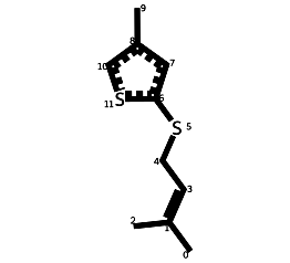 CC(C)=CCSc1cc(C)cs1